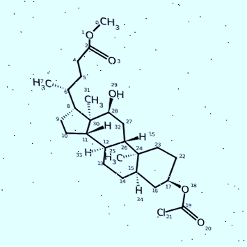 COC(=O)CC[C@@H](C)[C@H]1CC[C@H]2[C@@H]3CC[C@@H]4C[C@H](OC(=O)Cl)CC[C@]4(C)[C@H]3C[C@H](O)[C@]12C